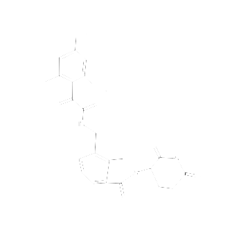 Cc1cc(C(C)(C)C)cc(C)c1C(=O)C(=O)NCc1cccc2c1CN(C1CCC(=O)NC1=O)C2=O